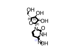 O=c1[nH]/c(=N\O)ccn1[C@@H]1O[C@H](CO)[C@@H](O)[C@@H]1O